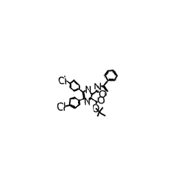 CC(C)(C)OC(=O)c1nc(-c2ccc(Cl)cc2)c(-c2ccc(Cl)cc2)nc1-c1nc(-c2ccccc2)co1